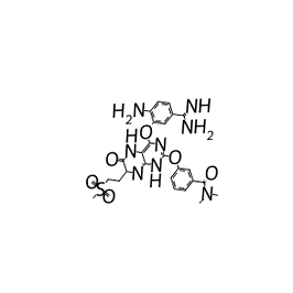 CN(C)C(=O)c1cccc(OC2=NC(Oc3cc(C(=N)N)ccc3N)=C3NC(=O)C(CCS(C)(=O)=O)N=C3N2)c1